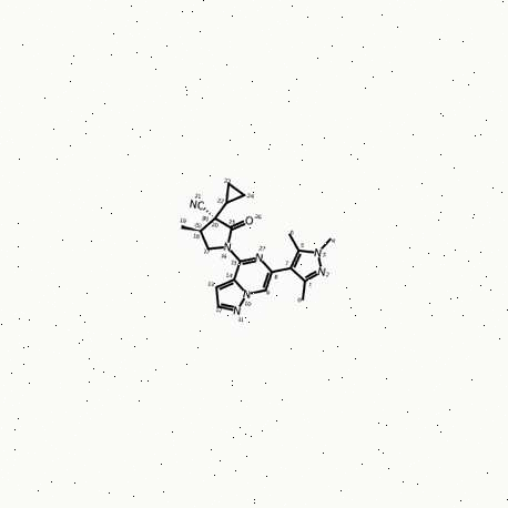 Cc1nn(C)c(C)c1-c1cn2nccc2c(N2C[C@@H](C)[C@@](C#N)(C3CC3)C2=O)n1